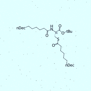 CCCCCCCCCCCCCCCC(=O)N[C@@H](CSC(=O)CCCCCCCCCCCCCCC)C(=O)OC(C)(C)C